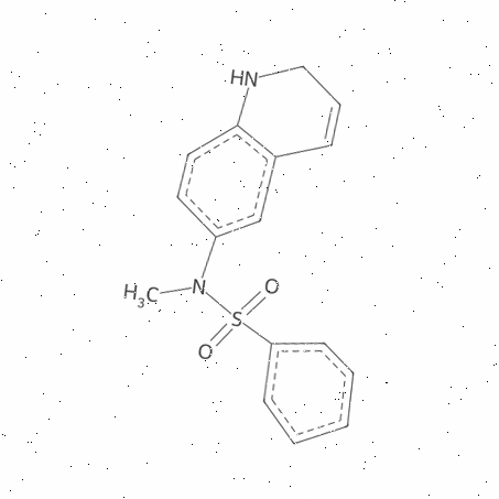 CN(c1ccc2c(c1)C=CCN2)S(=O)(=O)c1ccccc1